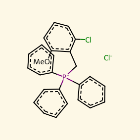 COc1cccc(Cl)c1C[P+](c1ccccc1)(c1ccccc1)c1ccccc1.[Cl-]